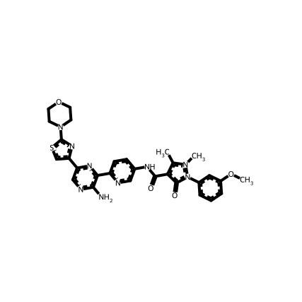 COc1cccc(-n2c(=O)c(C(=O)Nc3ccc(-c4nc(-c5csc(N6CCOCC6)n5)cnc4N)nc3)c(C)n2C)c1